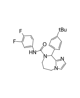 CC(C)(C)c1ccc(C2c3nccn3CCCN2C(=O)Nc2ccc(F)c(F)c2)cc1